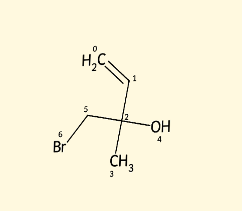 C=CC(C)(O)CBr